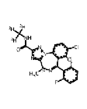 [2H]C([2H])([2H])NC(=O)c1nc2n(n1)-c1ccc(Cl)c(Cl)c1C(c1c(F)cccc1F)=N[C@H]2C